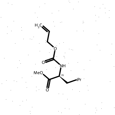 C=CCOC(=O)N[C@@H](CC(C)C)C(=O)OC